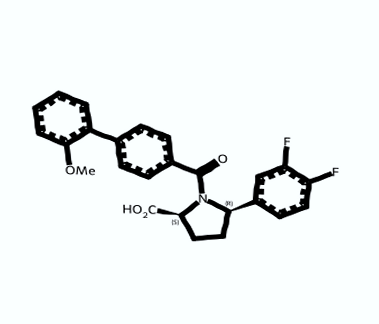 COc1ccccc1-c1ccc(C(=O)N2[C@@H](c3ccc(F)c(F)c3)CC[C@H]2C(=O)O)cc1